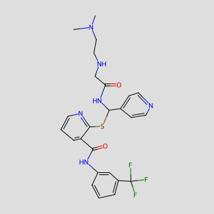 CN(C)CCNCC(=O)NC(Sc1ncccc1C(=O)Nc1cccc(C(F)(F)F)c1)c1ccncc1